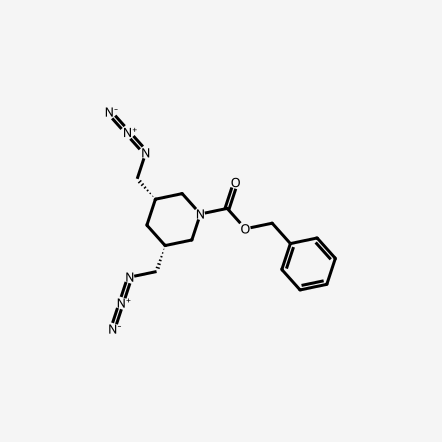 [N-]=[N+]=NC[C@@H]1C[C@H](CN=[N+]=[N-])CN(C(=O)OCc2ccccc2)C1